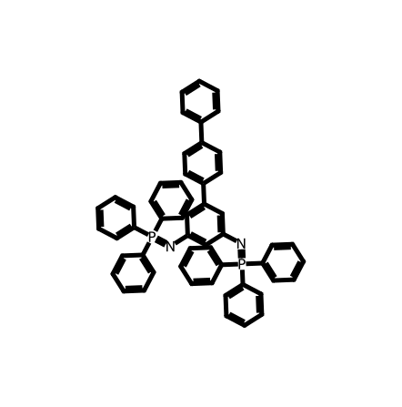 c1ccc(-c2ccc(-c3cc(N=P(c4ccccc4)(c4ccccc4)c4ccccc4)cc(N=P(c4ccccc4)(c4ccccc4)c4ccccc4)c3)cc2)cc1